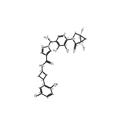 Cc1c([C@H](C)n2cc(C(=O)NC3CC(c4cc(Cl)ccc4C#N)C3)cn2)cnc(N2C[C@H]3C[C@H]3C2=O)c1Cl